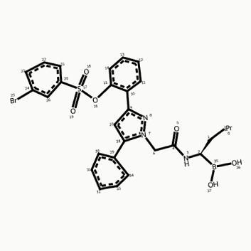 CC(C)C[C@H](NC(=O)Cn1nc(-c2ccccc2OS(=O)(=O)c2cccc(Br)c2)cc1-c1ccccc1)B(O)O